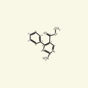 COC(=O)c1cnc(N)nc1-c1ccccc1